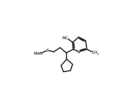 CNSCCC(c1nc(C)ccc1C#N)C1CCCC1